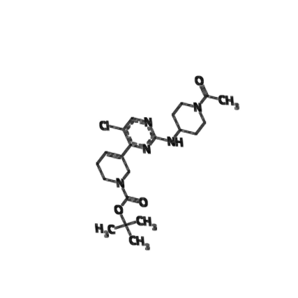 CC(=O)N1CCC(Nc2ncc(Cl)c(C3=CCCN(C(=O)OC(C)(C)C)C3)n2)CC1